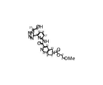 COCCOC(=O)N1CCc2cnc(C(=O)Nc3cccc(-c4nnnn4[C@H](C)CO)n3)cc2C1